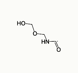 O=[C]NCOCO